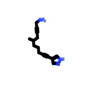 CC(CC#CCN)CCCC#Cc1cn[nH]c1